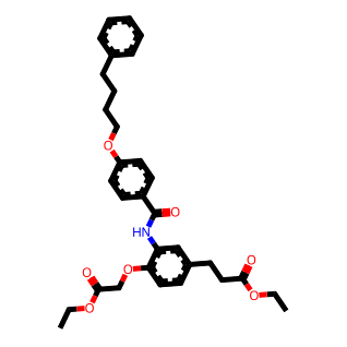 CCOC(=O)CCc1ccc(OCC(=O)OCC)c(NC(=O)c2ccc(OCCCCc3ccccc3)cc2)c1